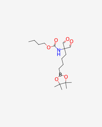 CCCCOC(=O)NC(C=O)(C=O)CCCCB1OC(C)(C)C(C)(C)O1